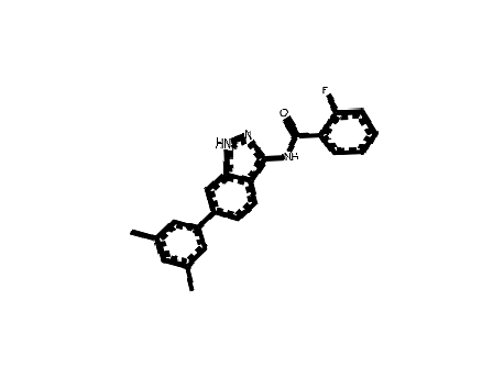 Cc1cc(C)cc(-c2ccc3c(NC(=O)c4ccccc4F)n[nH]c3c2)c1